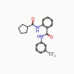 O=C(Nc1cccc(C(F)(F)F)c1)c1ccccc1NC(=O)C1CCCC1